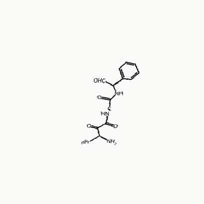 CCCC(N)C(=O)C(=O)NCC(=O)NC(C=O)c1ccccc1